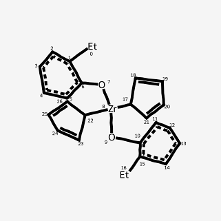 CCc1ccccc1[O][Zr]([O]c1ccccc1CC)([CH]1C=CC=C1)[CH]1C=CC=C1